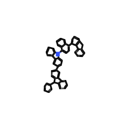 c1ccc(C2c3ccccc3-c3cc(-c4ccc5c(c4)c4ccccc4n5-c4ccc(-c5cccc6c5-c5ccccc5C6)c5ccccc45)ccc32)cc1